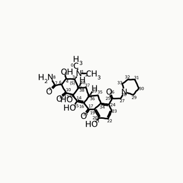 CN(C)[C@@H]1C(O)C(C(N)=O)C(=O)[C@@]2(O)C(O)=C3C(=O)c4c(O)ccc(C(=O)CN5CCCCC5)c4C[C@H]3C[C@@H]12